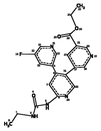 CCNC(=O)Nc1cc(-c2cncc(F)c2)c(-c2cncc(C(=O)OCC)c2)cn1